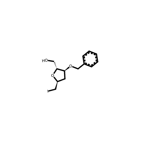 OC[C@H]1O[C@H](CI)C[C@@H]1OCc1ccccc1